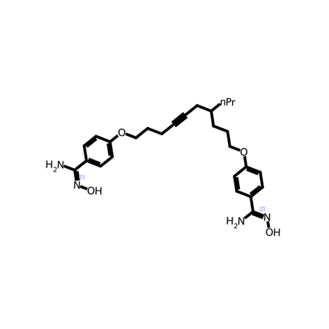 CCCC(CC#CCCCOc1ccc(/C(N)=N\O)cc1)CCCOc1ccc(/C(N)=N/O)cc1